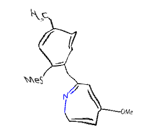 COc1ccnc(-c2ccc(C)cc2SC)c1